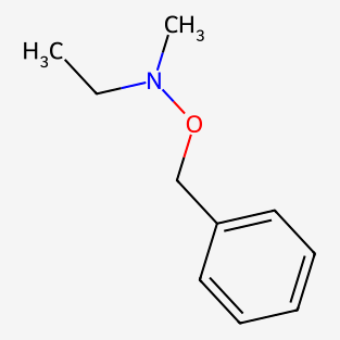 CCN(C)OCc1ccccc1